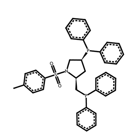 Cc1ccc(S(=O)(=O)N2C[C@@H](P(c3ccccc3)c3ccccc3)C[C@H]2CP(c2ccccc2)c2ccccc2)cc1